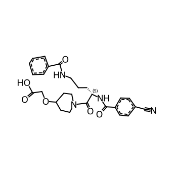 N#Cc1ccc(C(=O)N[C@@H](CCCNC(=O)c2ccccc2)C(=O)N2CCC(OCC(=O)O)CC2)cc1